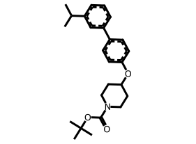 CC(C)c1cccc(-c2ccc(OC3CCN(C(=O)OC(C)(C)C)CC3)cc2)c1